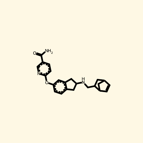 NC(=O)c1ccc(Oc2ccc3c(c2)CC(NCC2CC4C=CC2C4)C3)nc1